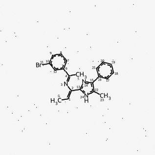 C/C=C(\N=C(/C)c1cccc(Br)c1)c1nc(-c2ccccc2)c(C)[nH]1